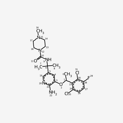 CC(Oc1cc(C(C)(C)NC(=O)N2CCN(C)CC2)cnc1N)c1c(Cl)ccc(F)c1Cl